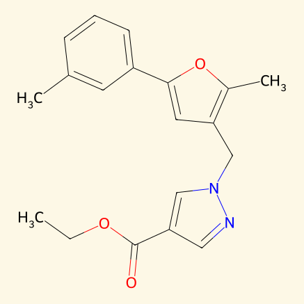 CCOC(=O)c1cnn(Cc2cc(-c3cccc(C)c3)oc2C)c1